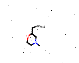 CCCCCCC1CN(C)CCO1